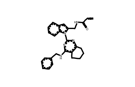 C=CC(=O)NCc1cc2ccccc2n1-c1nc2c(c(NCc3ccccc3)n1)CCCC2